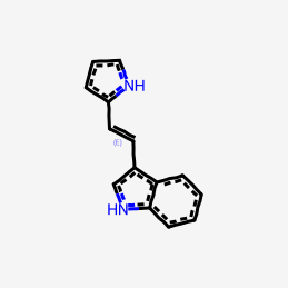 C(=C\c1c[nH]c2ccccc12)/c1ccc[nH]1